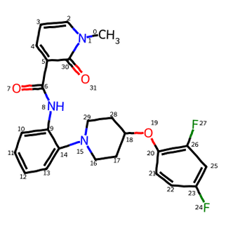 Cn1cccc(C(=O)Nc2ccccc2N2CCC(Oc3ccc(F)cc3F)CC2)c1=O